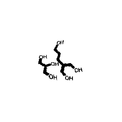 OCC(O)CO.OCCCC(CO)CO